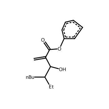 C=C(C(=O)Oc1ccccc1)C(O)C(CC)CCCC